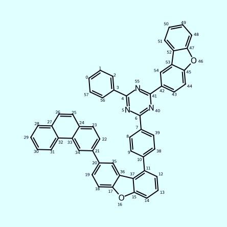 c1ccc(-c2nc(-c3ccc(-c4cccc5oc6ccc(-c7ccc8ccc9ccccc9c8c7)cc6c45)cc3)nc(-c3ccc4oc5ccccc5c4c3)n2)cc1